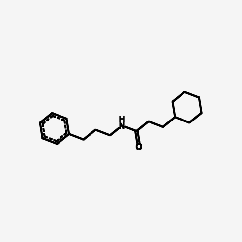 O=C(CCC1CCCCC1)NCCCc1ccccc1